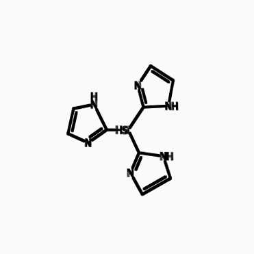 c1c[nH]c([SiH](c2ncc[nH]2)c2ncc[nH]2)n1